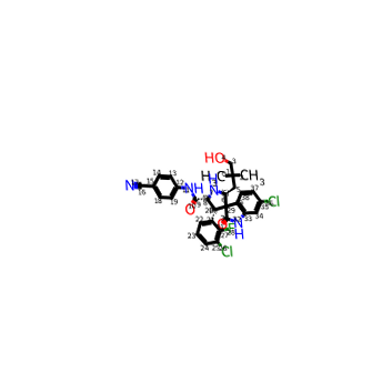 CC(C)(CO)C[C@@H]1N[C@@H](C(=O)Nc2ccc(C#N)cc2)[C@@H](c2cccc(Cl)c2F)C12C(=O)Nc1cc(Cl)ccc12